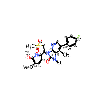 CCOc1nc(C(CS(C)(=O)=O)n2c(=O)n(CC)c3c(C)c(-c4ccc(F)cc4)cnc32)ccc1OC